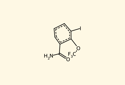 NC(=O)c1cccc(I)c1OC(F)(F)F